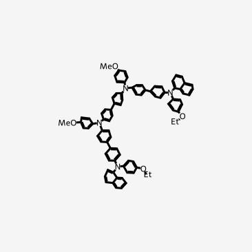 CCOc1ccc(N(c2ccc(-c3ccc(N(c4ccc(OC)cc4)c4ccc(-c5ccc(N(c6ccc(OC)cc6)c6ccc(-c7ccc(N(c8ccc(OCC)cc8)c8cccc9ccccc89)cc7)cc6)cc5)cc4)cc3)cc2)c2cccc3ccccc23)cc1